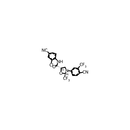 N#Cc1ccc(NC(=O)[C@@H]2CN(c3ccc(C#N)c(C(F)(F)F)c3)[C@@H](C(F)(F)F)O2)c(Cl)c1